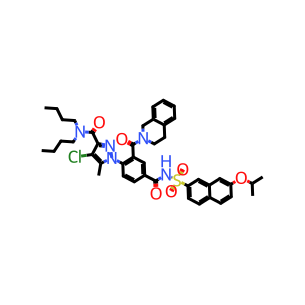 CCCCN(CCCC)C(=O)c1nn(-c2ccc(C(=O)NS(=O)(=O)c3ccc4ccc(OC(C)C)cc4c3)cc2C(=O)N2CCc3ccccc3C2)c(C)c1Cl